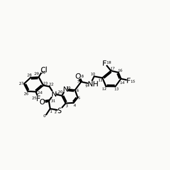 CC1Sc2ccc(C(=O)NCc3ccc(F)cc3F)nc2N(Cc2c(F)cccc2Cl)C1=O